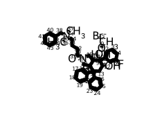 COc1ccc(F)cc1[C@@]1(O)[C@H](O)CC(c2ccccc2)(c2ccccc2)[C@@H]2CN(C(=O)CCC[N+](C)(C)Cc3ccccc3)C[C@@H]21.[Br-]